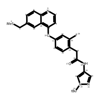 CSCc1ccc2nccc(Oc3ccc(CC(=O)Nc4cnn(C(C)(C)C)c4)c(F)c3)c2c1